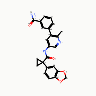 Cc1ncc(NC(=O)C2(c3ccc4c(c3)OCO4)CC2)cc1-c1cccc(C(N)=O)c1